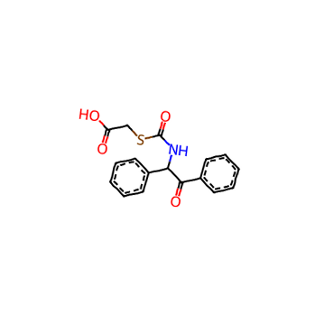 O=C(O)CSC(=O)NC(C(=O)c1ccccc1)c1ccccc1